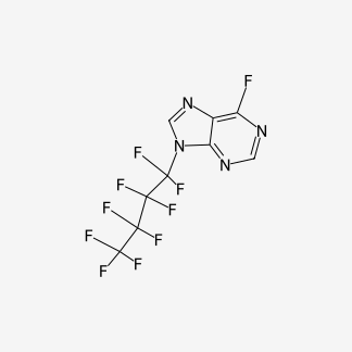 Fc1ncnc2c1ncn2C(F)(F)C(F)(F)C(F)(F)C(F)(F)F